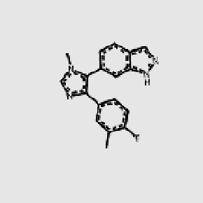 Cc1cc(-c2ncn(C)c2-c2ccc3cn[nH]c3c2)ccc1F